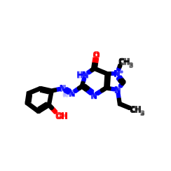 CCn1c[n+](C)c2c(=O)[nH]c(/N=N/c3ccccc3O)nc21